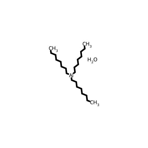 CCCCCCC[CH2][Al]([CH2]CCCCCCC)[CH2]CCCCCCC.O